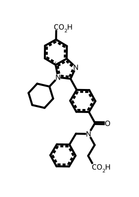 O=C(O)CCN(Cc1ccccc1)C(=O)c1ccc(-c2nc3cc(C(=O)O)ccc3n2C2CCCCC2)cc1